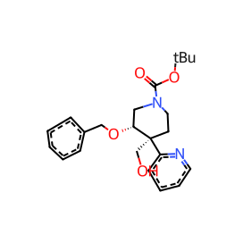 CC(C)(C)OC(=O)N1CC[C@@](CO)(c2ccccn2)[C@H](OCc2ccccc2)C1